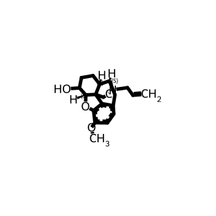 C=CCN1CCC23c4c5ccc(OC)c4O[C@@H]2C(O)CC[C@@H]3[C@@H]1C5